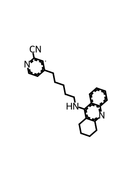 N#Cc1[c]c(CCCCCNc2c3c(nc4ccccc24)CCCC3)ccn1